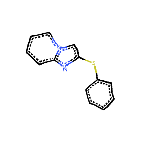 c1ccc(Sc2cn3ccccc3n2)cc1